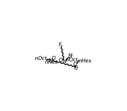 CCCCCCCCC(CCCCCC)COC(=O)CCCCCC(CCCCCC(=O)OCC(CCCCCC)CCCCCCCC)N(CCCN(C)C)C(=O)CCCCCCCF